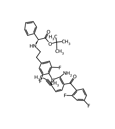 CC#C/C=C\C(C(=O)c1ccc(F)cc1F)=C(\N)N(C)c1c(F)cc(CCN[C@H](C(=O)OC(C)(C)C)c2ccccc2)cc1F